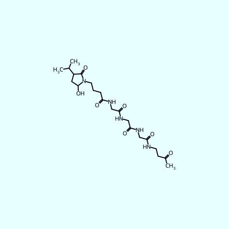 CC(=O)CCNC(=O)CNC(=O)CNC(=O)CNC(=O)CCCN1C(=O)C(C(C)C)CC1O